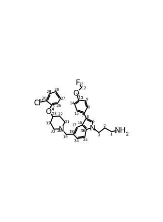 NCCCn1cc(-c2ccc(OCF)cc2)c2cc(CN3CCC(Oc4ccccc4Cl)CC3)ccc21